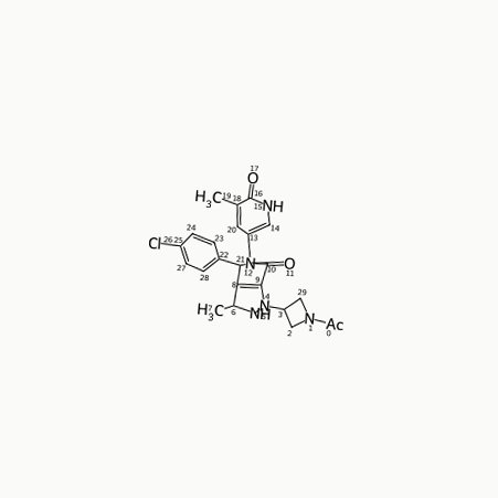 CC(=O)N1CC(N2NC(C)C3=C2C(=O)N(c2c[nH]c(=O)c(C)c2)C3c2ccc(Cl)cc2)C1